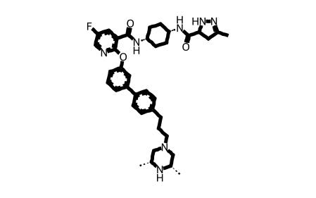 CC1=NNC(C(=O)N[C@H]2CC[C@@H](NC(=O)c3cc(F)cnc3Oc3cccc(-c4ccc(CCCN5C[C@@H](C)N[C@@H](C)C5)cc4)c3)CC2)C1